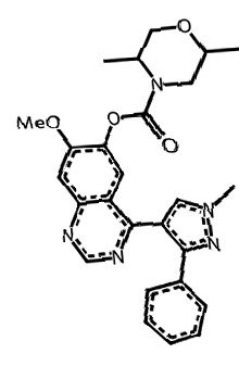 COc1cc2ncnc(-c3cn(C)nc3-c3ccccc3)c2cc1OC(=O)N1CC(C)OCC1C